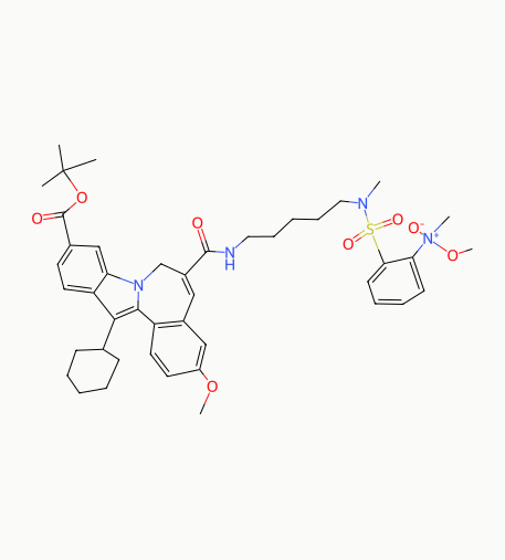 COc1ccc2c(c1)C=C(C(=O)NCCCCCN(C)S(=O)(=O)c1ccccc1[N+](C)([O-])OC)Cn1c-2c(C2CCCCC2)c2ccc(C(=O)OC(C)(C)C)cc21